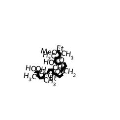 CC[C@H](OC)[C@H](C)[C@H]1O[C@@]2(CC[C@@](C)([C@H]3CC[C@@](CC)([C@@H]4OC([C@H]5O[C@@](O)(CO)[C@H](C)C[C@@H]5C)C[C@@H]4C)O3)O2)C[C@H](O)[C@H]1C